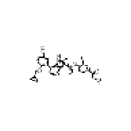 COCC(=O)N1CCC(NC(=O)c2c(C)[nH]c3c(-c4cc(F)ccc4OCC4CC4)ncnc23)C(F)C1